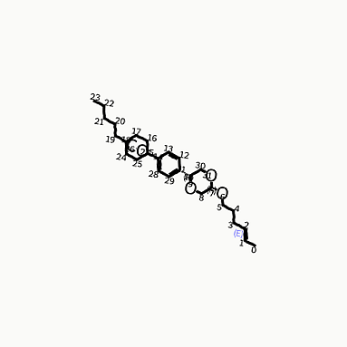 C/C=C/CCCO[C@H]1CO[C@H](c2ccc(C34CCC(CCCCC)(CC3)CC4)cc2)CO1